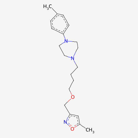 Cc1ccc(N2CCN(CCCCOCc3cc(C)on3)CC2)cc1